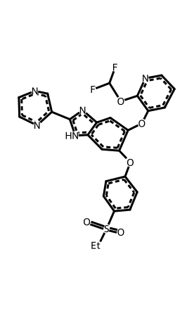 CCS(=O)(=O)c1ccc(Oc2cc3[nH]c(-c4cnccn4)nc3cc2Oc2cccnc2OC(F)F)cc1